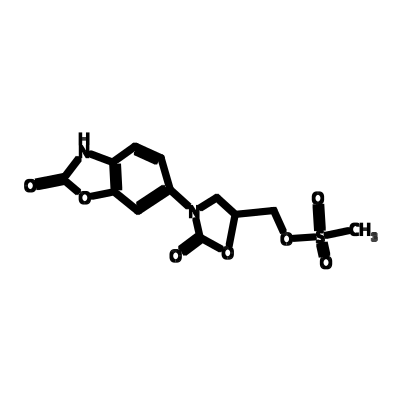 CS(=O)(=O)OCC1CN(c2ccc3[nH]c(=O)oc3c2)C(=O)O1